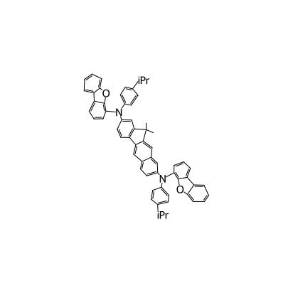 CC(C)c1ccc(N(c2ccc3c(c2)C(C)(C)c2cc4cc(N(c5ccc(C(C)C)cc5)c5cccc6c5oc5ccccc56)ccc4cc2-3)c2cccc3c2oc2ccccc23)cc1